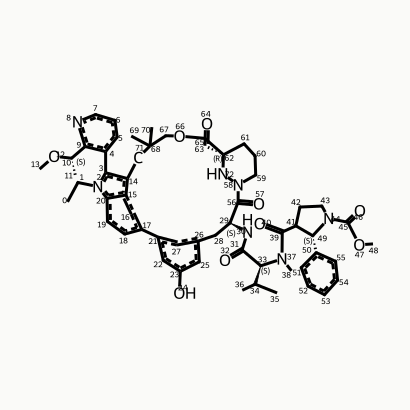 CCn1c(-c2cccnc2[C@H](C)OC)c2c3cc(ccc31)-c1cc(O)cc(c1)C[C@H](NC(=O)[C@H](C(C)C)N(C)C(=O)C1CCN(C(=O)OC)[C@@H]1c1ccccc1)C(=O)N1CCC[C@](C=O)(COCC(C)(C)C2)N1